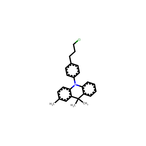 Cc1ccc2c(c1)C(C)(C)c1ccccc1N2c1ccc(CCCCl)cc1